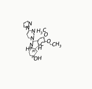 CCOc1cc2c(cc1OC)C(N1C=NC(n3cccn3)=CC1)=N[C@@H]1CC[C@@H](O)C[C@H]21